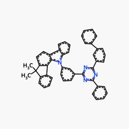 CC1(C)c2ccccc2-c2c1ccc1c3ccccc3n(-c3cccc(-c4nc(-c5ccccc5)nc(-c5cccc(-c6ccccc6)c5)n4)c3)c21